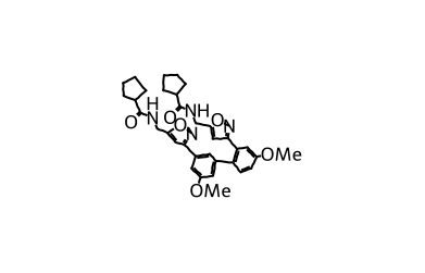 COc1cc(-c2cc(CNC(=O)C3CCCC3)on2)cc(-c2ccc(OC)cc2-c2cc(CNC(=O)C3CCCC3)on2)c1